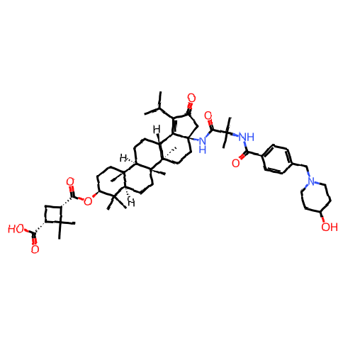 CC(C)C1=C2[C@H]3CC[C@@H]4[C@@]5(C)CC[C@H](OC(=O)[C@H]6C[C@@H](C(=O)O)C6(C)C)C(C)(C)[C@@H]5CC[C@@]4(C)[C@]3(C)CC[C@@]2(NC(=O)C(C)(C)NC(=O)c2ccc(CN3CCC(O)CC3)cc2)CC1=O